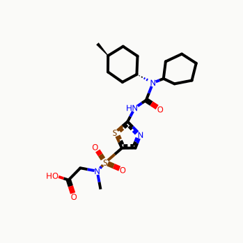 CN(CC(=O)O)S(=O)(=O)c1cnc(NC(=O)N(C2CCCCC2)[C@H]2CC[C@H](C)CC2)s1